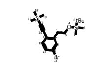 CC(C)(C)[Si](C)(C)OCCc1cc(Br)ccc1C#C[Si](C)(C)C